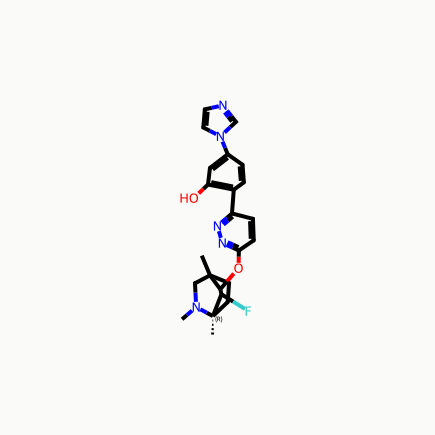 CN1CC2(C)CC[C@]1(C)C(F)C2Oc1ccc(-c2ccc(-n3ccnc3)cc2O)nn1